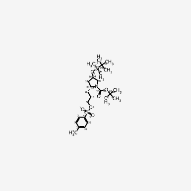 Cc1ccc(S(=O)(=O)OCCC[C@@H]2C[C@@H](O[Si](C)(C)C(C)(C)C)CN2C(=O)OC(C)(C)C)cc1